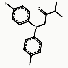 CC(C)C(=O)CN(c1ccc(F)cc1)c1ccc(F)cc1